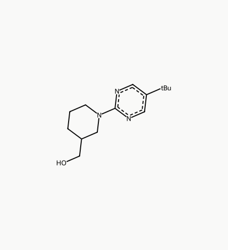 CC(C)(C)c1cnc(N2CCCC(CO)C2)nc1